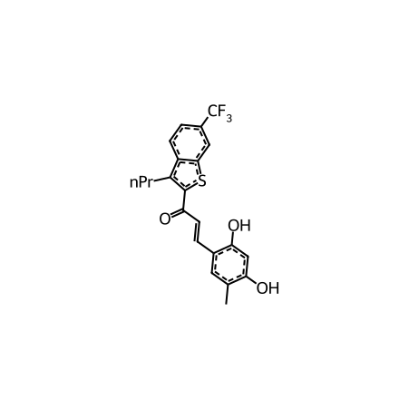 CCCc1c(C(=O)C=Cc2cc(C)c(O)cc2O)sc2cc(C(F)(F)F)ccc12